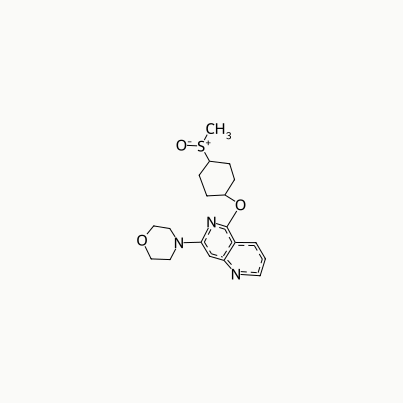 C[S+]([O-])C1CCC(Oc2nc(N3CCOCC3)cc3ncccc23)CC1